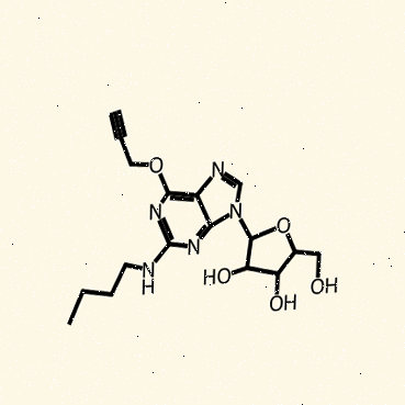 C#CCOc1nc(NCCCC)nc2c1ncn2C1OC(CO)C(O)C1O